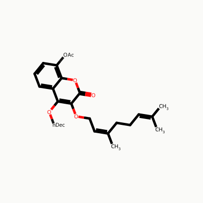 CCCCCCCCCCOc1c(OCC=C(C)CCC=C(C)C)c(=O)oc2c(OC(C)=O)cccc12